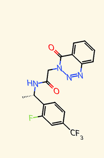 C[C@H](NC(=O)Cn1nnc2ccccc2c1=O)c1ccc(C(F)(F)F)cc1F